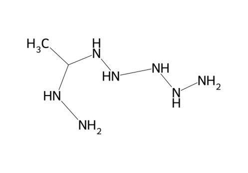 CC(NN)NNNNN